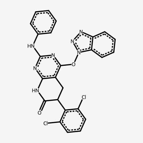 O=C1Nc2nc(Nc3ccccc3)nc(On3nnc4ccccc43)c2CC1c1c(Cl)cccc1Cl